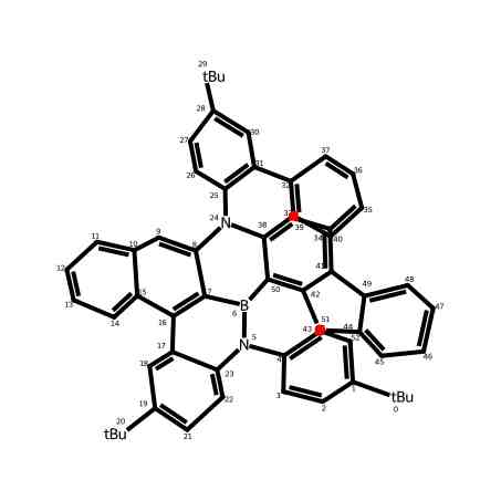 CC(C)(C)c1ccc(N2B3c4c(cc5ccccc5c4-c4cc(C(C)(C)C)ccc42)N(c2ccc(C(C)(C)C)cc2-c2ccccc2)c2ccc4c(oc5ccccc54)c23)cc1